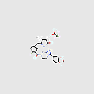 Cc1c(Cc2ccc(F)c(C(=O)N3CCn4c(nnc4-c4ccc5c(c4)OCO5)C3)c2)n[nH]c(=O)c1C.O=C(O)C(F)(F)F